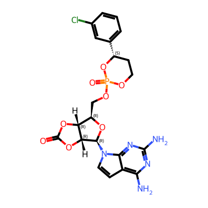 Nc1nc(N)c2ccn([C@@H]3O[C@H](COP4(=O)OCC[C@@H](c5cccc(Cl)c5)O4)[C@H]4OC(=O)O[C@H]43)c2n1